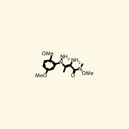 COc1ccc(OC)c(N(N)/C(C)=C(\N)C(=O)N(C)OC)c1